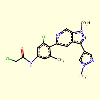 Cc1cc(NC(=O)CCl)cc(Cl)c1-c1cc2c(-c3cnn(C)c3)nn(C(=O)O)c2cn1